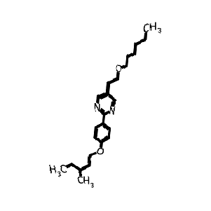 CCCCCCOCCc1cnc(-c2ccc(OCCC(C)CC)cc2)nc1